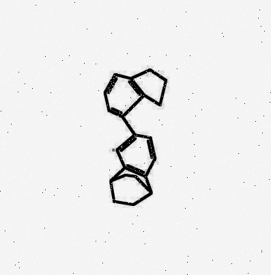 [c]1c(-c2cccc3c2CCC3)ccc2c1C1CCC2CC1